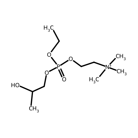 CCOP(=O)(OCC[N+](C)(C)C)OCC(C)O